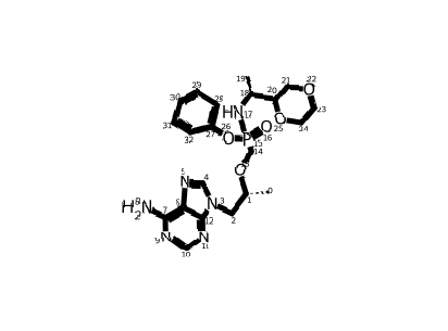 C[C@H](Cn1cnc2c(N)ncnc21)OCP(=O)(N[C@@H](C)C1COCCO1)Oc1ccccc1